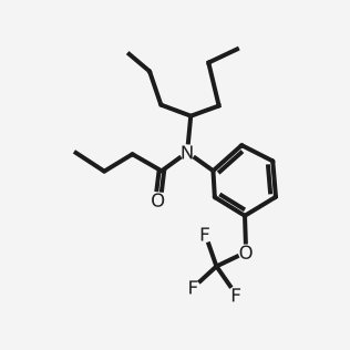 CCCC(=O)N(c1cccc(OC(F)(F)F)c1)C(CCC)CCC